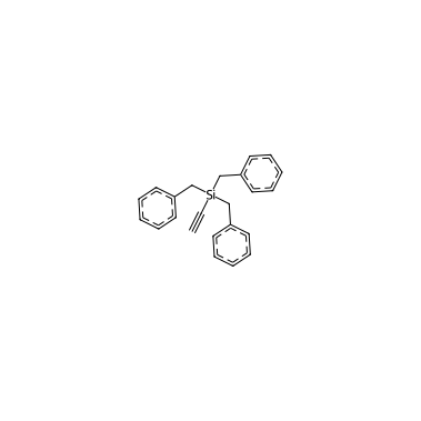 C#C[Si](Cc1ccccc1)(Cc1ccccc1)Cc1ccccc1